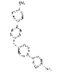 O=[N+]([O-])c1ccc(-c2ccc(Sc3ccc(-c4ccc([N+](=O)[O-])cc4)cc3)cc2)cc1